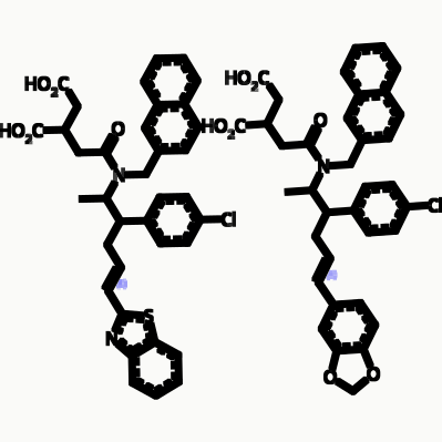 CC(C(C/C=C/c1ccc2c(c1)OCO2)c1ccc(Cl)cc1)N(Cc1ccc2ccccc2c1)C(=O)CC(CC(=O)O)C(=O)O.CC(C(C/C=C/c1nc2ccccc2s1)c1ccc(Cl)cc1)N(Cc1ccc2ccccc2c1)C(=O)CC(CC(=O)O)C(=O)O